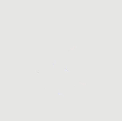 COc1c(/N=C2/C=C(C)C(=O)C=C2NCCO)cc(C)c(N)c1C